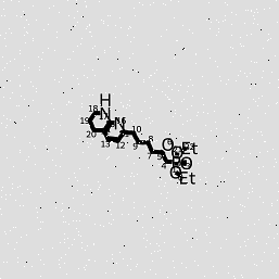 CCOP(=O)(CC(=O)CCCCc1ccc2c(n1)NCCC2)OCC